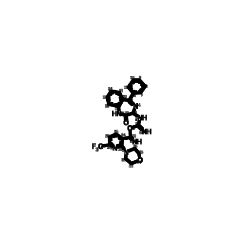 N=C(NC1N=C(c2ccccc2)c2ccccc2NC1=O)OC(=N)c1ccc(C(F)(F)F)nc1N1CCOCC1